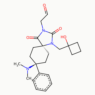 CN(C)[C@]1(c2ccccc2)CC[C@]2(CC1)C(=O)N(CC=O)C(=O)N2CC1(O)CCC1